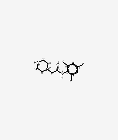 Cc1cc(C)c(NC(=O)CN2CCNCC2)c(C)c1